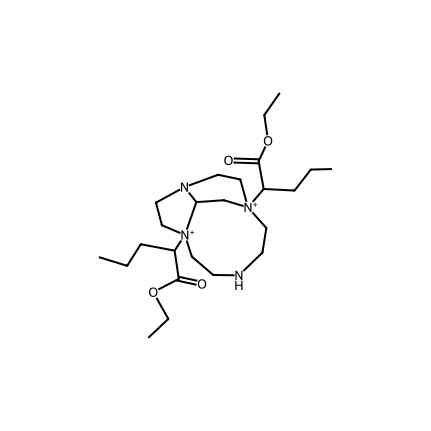 CCCC(C(=O)OCC)[N+]12CCNCC[N+]3(C(CCC)C(=O)OCC)CCN(CC1)C3C2